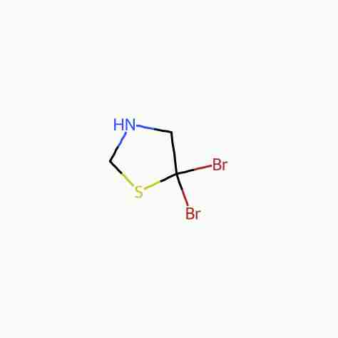 BrC1(Br)CNCS1